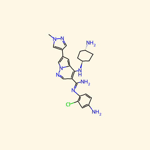 Cn1cc(-c2cc3c(N[C@H]4CC[C@H](N)CC4)c(C(N)=Nc4ccc(N)cc4Cl)cnn3c2)cn1